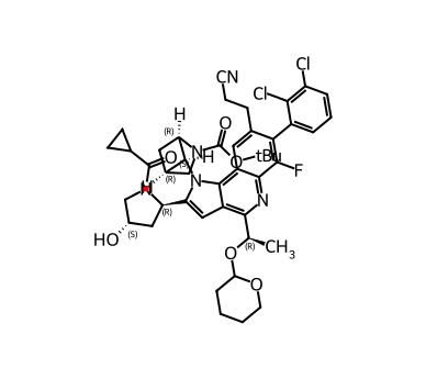 C[C@@H](OC1CCCCO1)c1nc2c(F)c(-c3cccc(Cl)c3Cl)c(CCC#N)cc2c2c1cc([C@H]1C[C@H](O)CN1C(=O)C1CC1)n2[C@H]1[C@@H]2C[C@H]1N(C(=O)OC(C)(C)C)C2